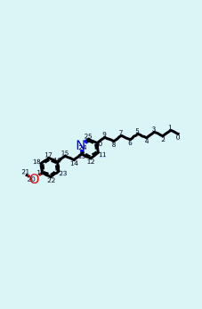 CCCCCCCCCCc1ccc(CCc2ccc(OC)cc2)nc1